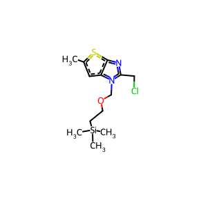 Cc1cc2c(nc(CCl)n2COCC[Si](C)(C)C)s1